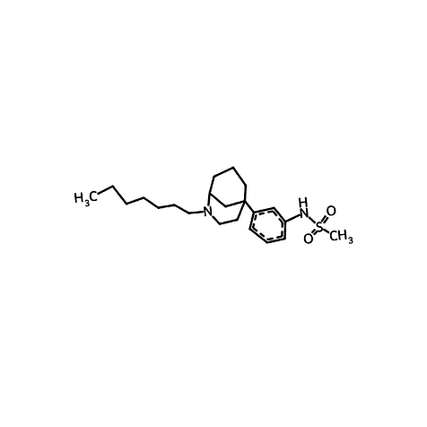 CCCCCCCN1CCC2(c3cccc(NS(C)(=O)=O)c3)CCCC1C2